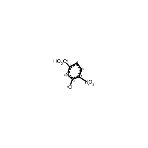 O=C(O)c1ccc([N+](=O)[O-])c(Cl)n1